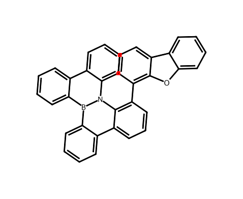 c1ccc2c(c1)B1c3ccccc3-c3cccc(-c4cccc5c4oc4ccccc45)c3N1c1ccccc1-2